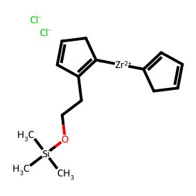 C[Si](C)(C)OCCC1=[C]([Zr+2][C]2=CC=CC2)CC=C1.[Cl-].[Cl-]